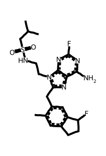 Cc1cc2c(cc1Cc1nc3c(N)nc(F)nc3n1CCNS(=O)(=O)CC(C)C)C(F)CC2